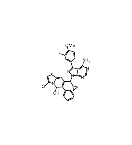 COc1ccc(-c2nn(C(C3=C(c4ccccc4)C(O)N4C(Cl)=CSC4=C3)C3CC3)c3ncnc(N)c23)cc1F